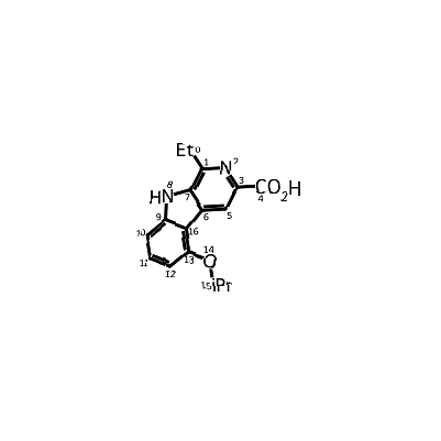 CCc1nc(C(=O)O)cc2c1[nH]c1cccc(OC(C)C)c12